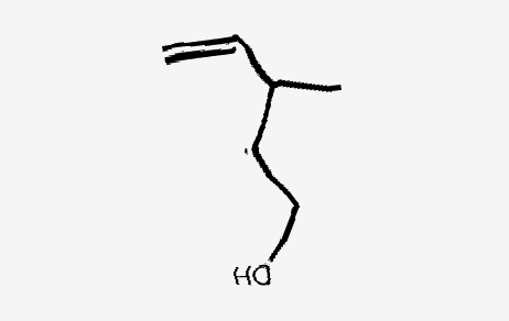 C=CC(C)[CH]CO